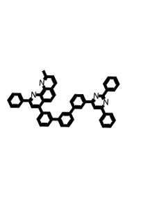 Cc1ccc2ccc3c(-c4cccc(-c5cccc(-c6cccc(-c7cc(-c8ccccc8)nc(-c8ccccc8)n7)c6)c5)c4)cc(-c4ccccc4)nc3c2n1